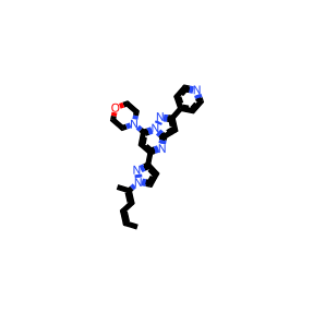 C/C=C\C=C(/C)n1ccc(-c2cc(N3CCOCC3)n3nc(-c4ccncc4)cc3n2)n1